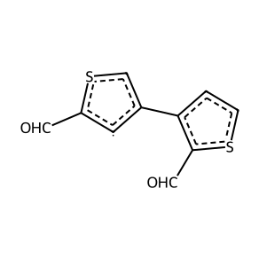 O=Cc1[c]c(-c2ccsc2C=O)cs1